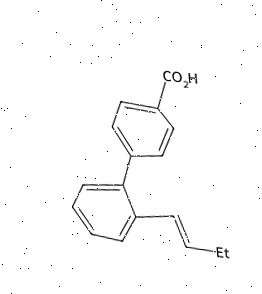 CCC=Cc1ccccc1-c1ccc(C(=O)O)cc1